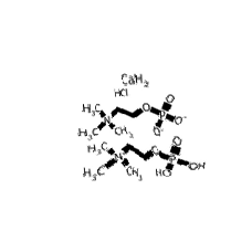 C[N+](C)(C)CCOP(=O)(O)O.C[N+](C)(C)CCOP(=O)([O-])[O-].Cl.[CaH2]